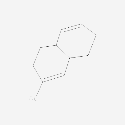 CC(=O)C1=CC2CCC=CC2CC1